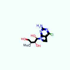 CO[C@H](CO)[C@@H](O)[C@@H](O)n1ccc2c(Cl)nc(N)nc21